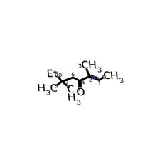 C/C=C(\C)C(=O)CC(C)(C)CC